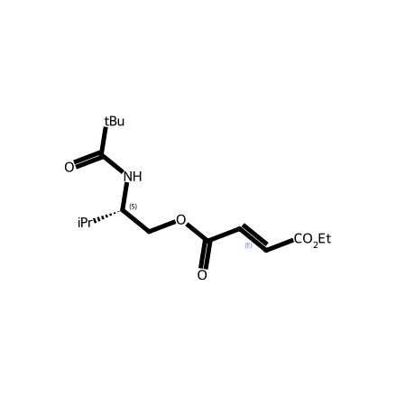 CCOC(=O)/C=C/C(=O)OC[C@@H](NC(=O)C(C)(C)C)C(C)C